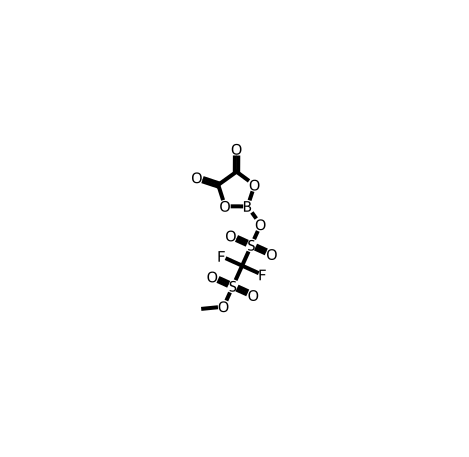 COS(=O)(=O)C(F)(F)S(=O)(=O)OB1OC(=O)C(=O)O1